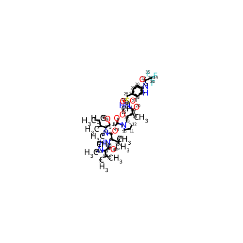 CCC(C)C([C@@H](CC(=O)N1CCC[C@H]1[C@H](OC)[C@@H](C)C(=O)NS(=O)(=O)Cc1ccc(NC(=O)C(F)(F)F)cc1)OC)N(C)C(=O)[C@@H](NC(=O)C(C(C)C)N(C)C)C(C)C